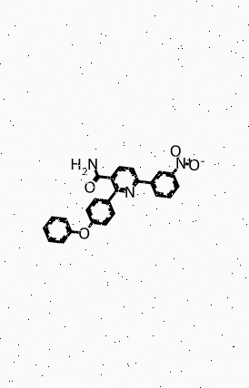 NC(=O)c1ccc(-c2cccc([N+](=O)[O-])c2)nc1-c1ccc(Oc2ccccc2)cc1